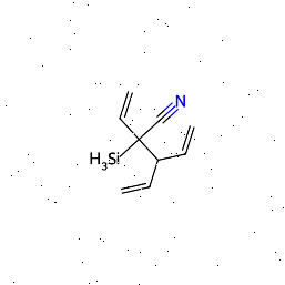 C=CC(C=C)C([SiH3])(C#N)C=C